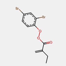 C=C(CC)C(=O)OOc1ccc(Br)cc1Br